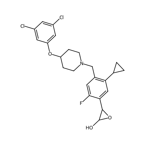 OC1OC1c1cc(C2CC2)c(CN2CCC(Oc3cc(Cl)cc(Cl)c3)CC2)cc1F